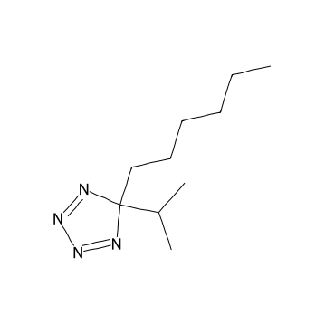 CCCCCCC1(C(C)C)N=NN=N1